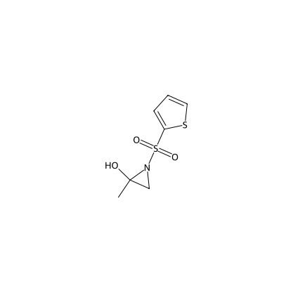 CC1(O)CN1S(=O)(=O)c1cccs1